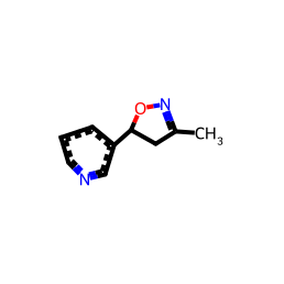 CC1=NOC(c2cccnc2)C1